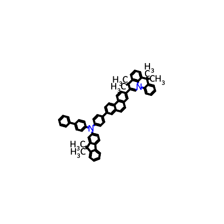 CC1(C)C(c2ccc3c(ccc4cc(-c5ccc(N(c6ccc(-c7ccccc7)cc6)c6ccc7c(c6)C(C)(C)c6ccccc6-7)cc5)ccc43)c2)=CN2c3ccccc3C(C)(C)c3cccc1c32